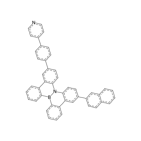 c1ccc2c(c1)B1c3ccccc3-c3cc(-c4ccc5ccccc5c4)ccc3N1c1ccc(-c3ccc(-c4ccncc4)cc3)cc1-2